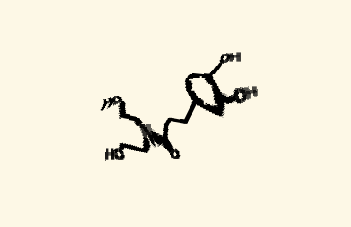 O=C(CCc1ccc(O)c(O)c1)N(CCO)CCO